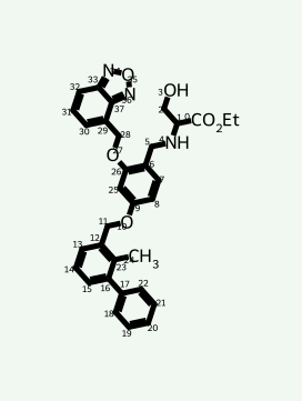 CCOC(=O)C(CO)NCc1ccc(OCc2cccc(-c3ccccc3)c2C)cc1OCc1cccc2nonc12